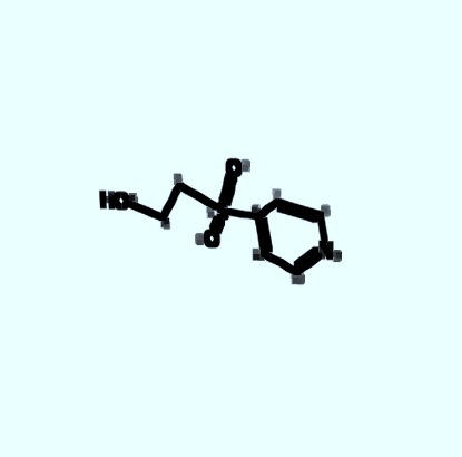 O=S(=O)(CCO)c1ccncc1